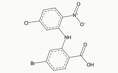 O=C(O)c1ccc(Br)cc1Nc1cc(Cl)ccc1[N+](=O)[O-]